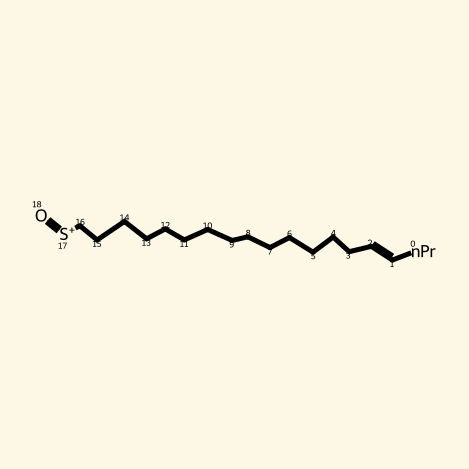 CCCC=CCCCCCCCCCCCCCC[S+]=O